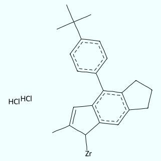 CC1=Cc2c(cc3c(c2-c2ccc(C(C)(C)C)cc2)CCC3)[CH]1[Zr].Cl.Cl